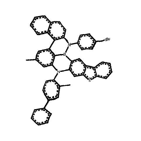 Cc1cc2c3c(c1)N(c1ccc(-c4ccccc4)cc1C)c1cc4sc5ccccc5c4cc1B3N(c1ccc(C(C)(C)C)cc1)c1ccc3ccccc3c1-2